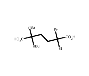 CCCCC(CCCC)(CCC(CC)(CC)C(=O)O)C(=O)O